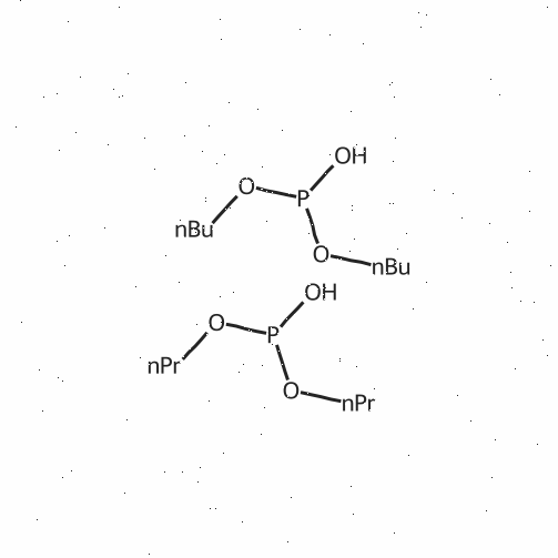 CCCCOP(O)OCCCC.CCCOP(O)OCCC